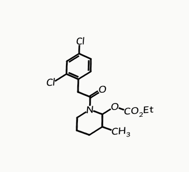 CCOC(=O)OC1C(C)CCCN1C(=O)Cc1ccc(Cl)cc1Cl